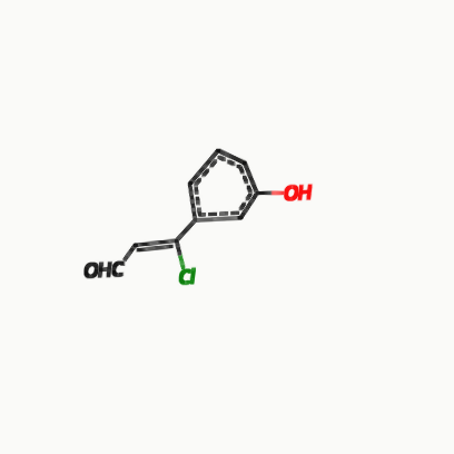 O=C/C=C(\Cl)c1cccc(O)c1